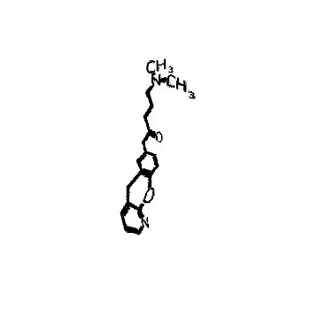 CN(C)CCCC(=O)Cc1ccc2c(c1)Cc1cccnc1O2